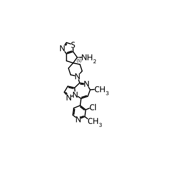 Cc1nccc(C2=CC(C)N=C(N3CCC4(CC3)Cc3ncsc3[C@H]4N)c3ccnn32)c1Cl